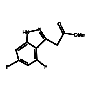 COC(=O)Cc1n[nH]c2cc(F)cc(F)c12